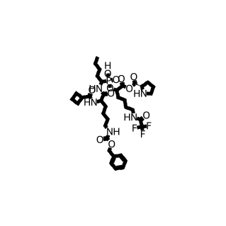 CCCCC(NC(=O)C(CCCCNC(=O)OCc1ccccc1)NC(=O)C1CCC1)P(=O)(O)OC(CCCCNC(=O)C(F)(F)F)C(=O)OC(=O)[C@@H]1CCCN1